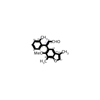 COc1c(/C(=C\C=O)c2ccccc2C)cc2c(C)coc2c1C